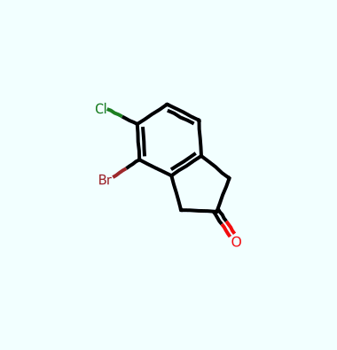 O=C1Cc2ccc(Cl)c(Br)c2C1